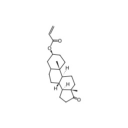 C=CC(=O)O[C@H]1CC[C@@]2(C)C(CC[C@@H]3[C@@H]2CC[C@]2(C)C(=O)CC[C@@H]32)C1